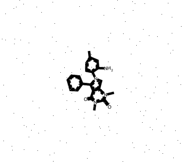 Cc1ccc(-n2cc3c(c2-c2ccccc2)c(=O)n(C)c(=O)n3C)c(N)c1